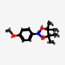 CCCOc1ccc(N2OC(C)(C)C(C)(C)O2)cc1